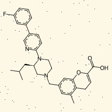 Cc1cc(CN2CCN(c3ccc(-c4cccc(F)c4)cn3)[C@H](CC(C)C)C2)cc2c1CC=C(C(=O)O)O2